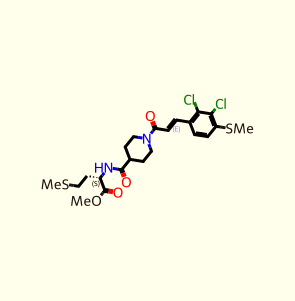 COC(=O)[C@H](CCSC)NC(=O)C1CCN(C(=O)/C=C/c2ccc(SC)c(Cl)c2Cl)CC1